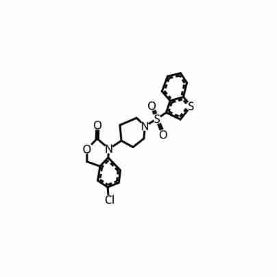 O=C1OCc2cc(Cl)ccc2N1C1CCN(S(=O)(=O)c2csc3ccccc23)CC1